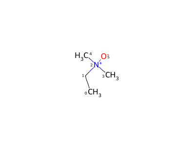 CC[N+](C)(C)[O-]